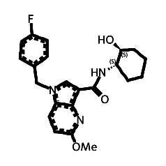 COc1ccc2c(n1)c(C(=O)N[C@H]1CCCC[C@@H]1O)cn2Cc1ccc(F)cc1